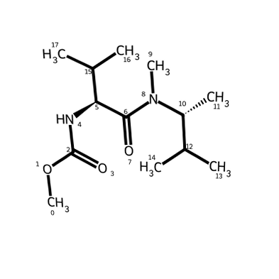 COC(=O)N[C@H](C(=O)N(C)[C@H](C)C(C)C)C(C)C